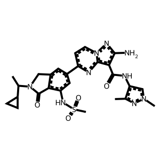 Cc1nn(C)cc1NC(=O)c1c(N)nn2ccc(-c3cc4c(c(NS(C)(=O)=O)c3)C(=O)N(C(C)C3CC3)C4)nc12